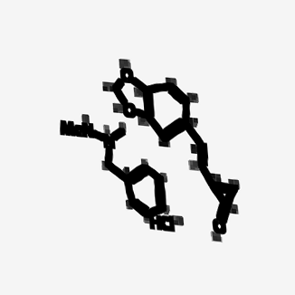 CNN(C)Cc1ccccc1.Cl.O=c1cc1C=Cc1ccc2c(c1)OCO2